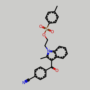 Cc1ccc(S(=O)(=O)OCCn2c(C)c(C(=O)c3ccc(C#N)cc3)c3ccccc32)cc1